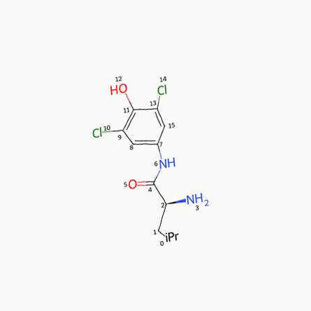 CC(C)C[C@H](N)C(=O)Nc1cc(Cl)c(O)c(Cl)c1